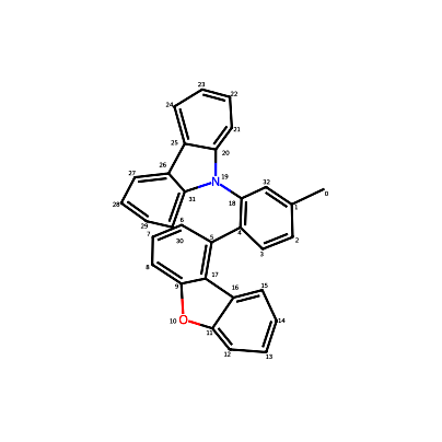 Cc1ccc(-c2cccc3oc4ccccc4c23)c(-n2c3ccccc3c3ccccc32)c1